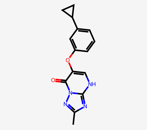 Cc1nc2[nH]cc(Oc3cccc(C4CC4)c3)c(=O)n2n1